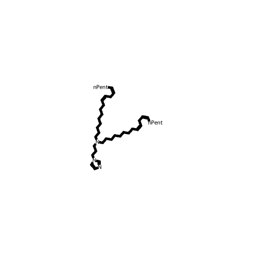 CCCCC/C=C\C/C=C\CCCCCCCCN(CCCCCCCC/C=C\C/C=C\CCCCC)CCCn1ccnc1